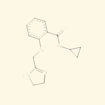 O=C(NC1CC1)c1ccccc1NCC1=NCCN1